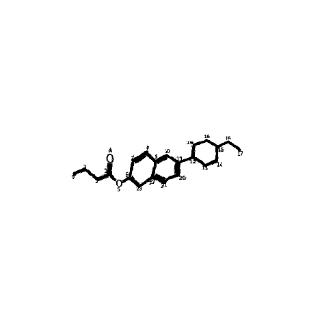 CCCC(=O)Oc1ccc2cc(C3CCC(CC)CC3)ccc2c1